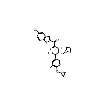 O=C(N[C@H](CN1CCC1)[C@H](O)c1ccc(OC2CC2)c(F)c1)C(=O)c1cc2cc(Cl)ccc2s1